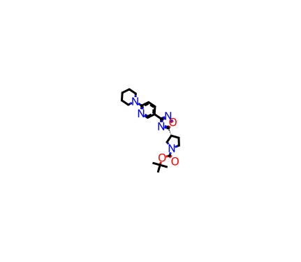 CC(C)(C)OC(=O)N1CC[C@@H](c2nc(-c3ccc(N4CCCCC4)nc3)no2)C1